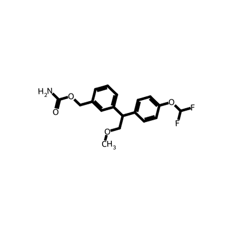 COCC(c1ccc(OC(F)F)cc1)c1cccc(COC(N)=O)c1